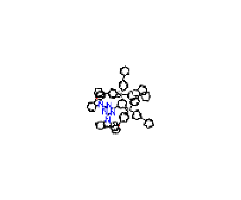 c1ccc(-c2ccc([Si](c3ccc(-c4ccccc4)cc3)(c3ccc(-c4ccccc4)cc3)c3cc(-c4nc(-n5c6ccccc6c6ccccc65)nc(-n5c6ccccc6c6ccccc65)n4)cc([Si](c4ccc(-c5ccccc5)cc4)(c4ccc(-c5ccccc5)cc4)c4ccc(-c5ccccc5)cc4)c3)cc2)cc1